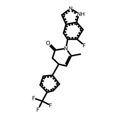 CC1=CC(c2ccc(C(F)(F)F)cc2)CC(=O)N1c1cc2cn[nH]c2cc1F